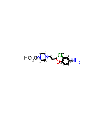 Nc1ccc(OCCCN2CCN(C(=O)O)CC2)c(Cl)c1